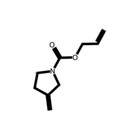 C=CCOC(=O)N1[CH]CC(=C)C1